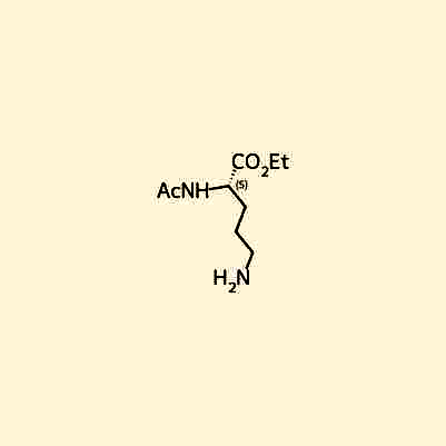 CCOC(=O)[C@H](CCCN)NC(C)=O